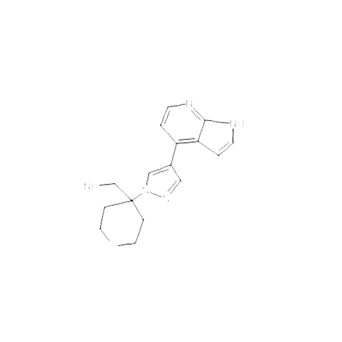 N#CCC1(n2cc(-c3ccnc4[nH]ccc34)cn2)CCSCC1